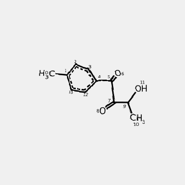 Cc1ccc(C(=O)C(=O)C(C)O)cc1